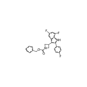 O=C(OCc1ccccc1)N1CC(c2c(-c3ccc(F)cc3)[nH]c3c(F)cc(F)cc23)C1